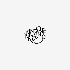 Cc1nc2c3cc(C4(C#N)CC4)c(=O)n(c3n1)CCCCCCCOCC(F)(F)c1cccc(c1F)[C@@H](C)N2